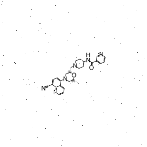 C[C@@H]1CN(c2ccc(C#N)c3ncccc23)C[C@H](CN2CCC(NC(=O)c3cccnc3)CC2)O1